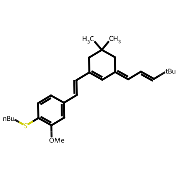 CCCCSc1ccc(/C=C/C2=CC(=C/C=C/C(C)(C)C)/CC(C)(C)C2)cc1OC